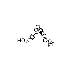 O=C(O)c1ccc(CCn2c(COc3cccc(OC(F)F)c3)c(Cl)cc(Cl)c2=O)cc1